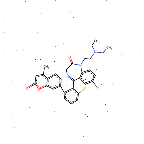 CCN(CC)CCN1C(=O)CN=C(c2c(F)cccc2-c2ccc3c(C)cc(=O)oc3c2)c2cc(Cl)ccc21